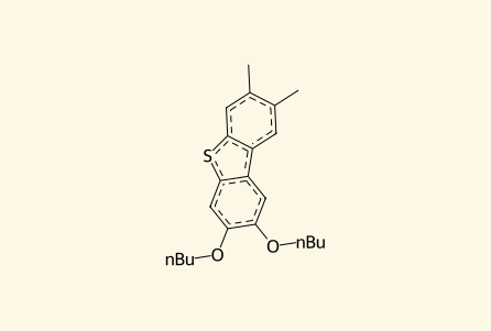 CCCCOc1cc2sc3cc(C)c(C)cc3c2cc1OCCCC